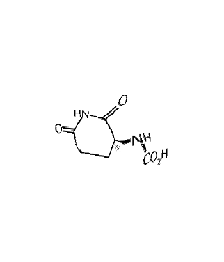 O=C(O)N[C@H]1CCC(=O)NC1=O